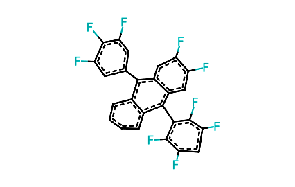 Fc1cc2c(-c3cc(F)c(F)c(F)c3)c3ccccc3c(-c3c(F)c(F)cc(F)c3F)c2cc1F